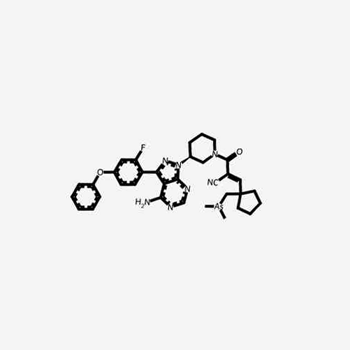 C[As](C)CC1(/C=C(\C#N)C(=O)N2CCC[C@H](n3nc(-c4ccc(Oc5ccccc5)cc4F)c4c(N)ncnc43)C2)CCCC1